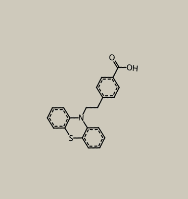 O=C(O)c1ccc(CCN2c3ccccc3Sc3ccccc32)cc1